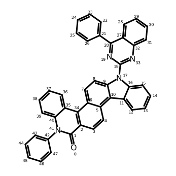 O=c1c2ccc3c(ccc4c3c3ccccc3n4-c3nc(-c4ccccc4)c4ccccc4n3)c2c2ccccc2n1-c1ccccc1